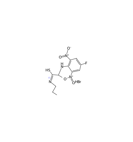 Br.CCC/N=C(/S)C(C)Nc1c([N+](=O)[O-])cc(F)cc1[N+](=O)[O-]